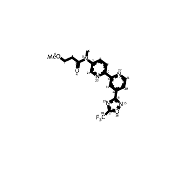 COCCC(=O)N(C)c1ccc(-c2cc(-c3noc(C(F)(F)F)n3)ccn2)nc1